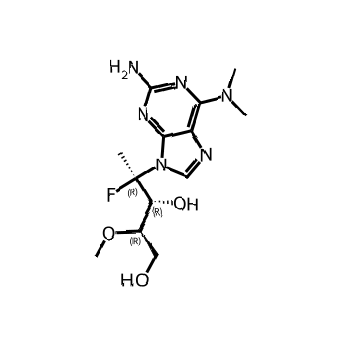 CO[C@H](CO)[C@@H](O)[C@@](C)(F)n1cnc2c(N(C)C)nc(N)nc21